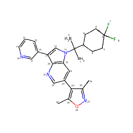 BC(B)(C1CCC(F)(F)CC1)n1cc(-c2cccnc2)c2ncc(-c3c(C)noc3C)cc21